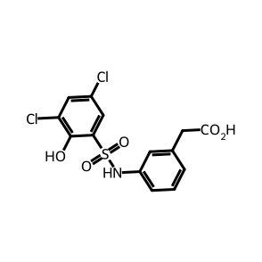 O=C(O)Cc1cccc(NS(=O)(=O)c2cc(Cl)cc(Cl)c2O)c1